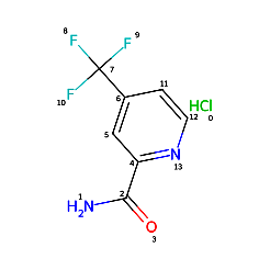 Cl.NC(=O)c1cc(C(F)(F)F)ccn1